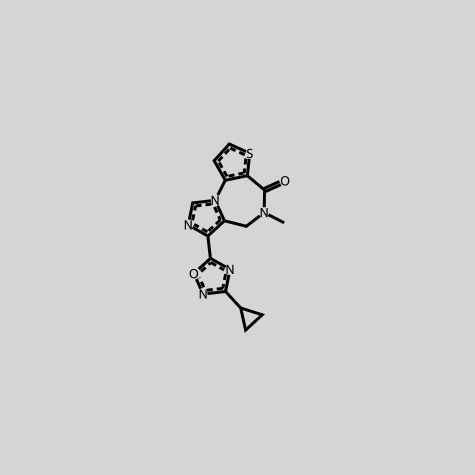 CN1Cc2c(-c3nc(C4CC4)no3)ncn2-c2ccsc2C1=O